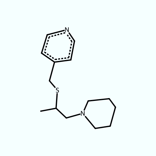 CC(CN1CCCCC1)SCc1ccncc1